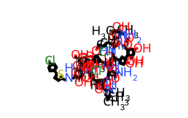 CN[C@H](CC(C)C)C(=O)N[C@H]1C(=O)C[C@@H](CC(N)=O)C(=O)N[C@H]2C(=O)C[C@H]3C(=O)NC(C(=O)N[C@@H](OC=O)c4cc(O)cc(O)c4-c4cc3ccc4O)[C@H](O[C@H]3C[C@](C)(N)[C@@H](O)[C@H](C)O3)c3ccc(c(Cl)c3)Oc3cc2cc(c3O[C@@H]2O[C@H](CO)[C@@H](O[C@@H]3OC(CNCc4ccc(-c5ccc(Cl)cc5)s4)[C@H](O)[C@H](O)[C@H]3NC(C)=O)[C@H](O)[C@H]2O)Oc2ccc(cc2Cl)[C@H]1O